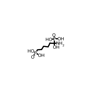 NC(O)(CCCCCP(=O)(O)O)P(=O)(O)O